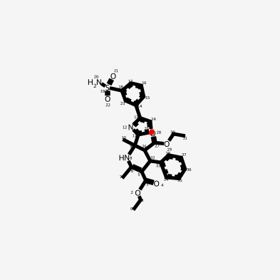 CCOC(=O)C1=C(C)NC(C)(c2nc(-c3cccc(S(N)(=O)=O)c3)cs2)C(C(=O)OCC)C1c1ccccc1